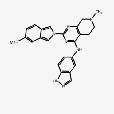 COc1ccc2cn(-c3nc4c(c(Nc5ccc6[nH]ncc6c5)n3)CCN(C)C4)cc2c1